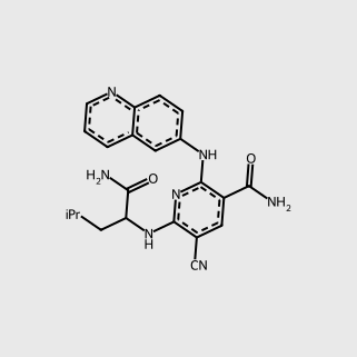 CC(C)CC(Nc1nc(Nc2ccc3ncccc3c2)c(C(N)=O)cc1C#N)C(N)=O